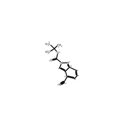 CC(C)(C)OC(=O)n1cc2c(C#N)cccc2n1